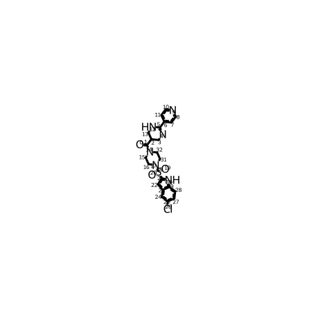 O=C(C1CN=C(c2ccncc2)NC1)N1CCN(S(=O)(=O)c2cc3cc(Cl)ccc3[nH]2)CC1